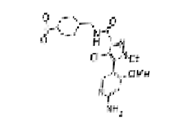 CCn1nc(C(=O)NCC2CCC(S(C)(=O)=O)CC2)c(Cl)c1-c1cnc(N)cc1OC